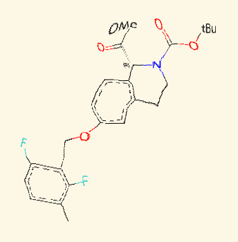 COC(=O)[C@H]1c2ccc(OCc3c(F)ccc(C)c3F)cc2CCN1C(=O)OC(C)(C)C